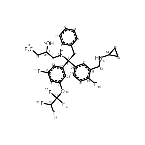 O[C@@H](CN[C@@](Cc1ccccc1)(c1cc(F)cc(OC(F)(F)C(F)F)c1)c1ccc(F)c(CNC2CC2)c1)CC(F)(F)F